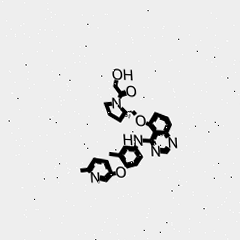 Cc1ccc(Oc2ccc(Nc3ncnc4cccc(OC[C@@H]5CCCN5C(=O)CO)c34)cc2C)cn1